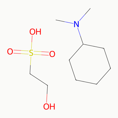 CN(C)C1CCCCC1.O=S(=O)(O)CCO